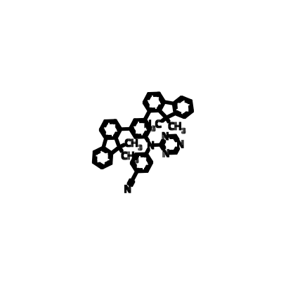 CC1(C)c2ccccc2-c2cccc(-c3cc(-c4cccc5c4C(C)(C)c4ccccc4-5)cc(N(c4ccc(C#N)cc4)c4ncncn4)c3)c21